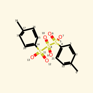 Cc1ccc(S(=O)(=O)S(=O)(=O)S(=O)(=O)c2ccc(C)cc2)cc1